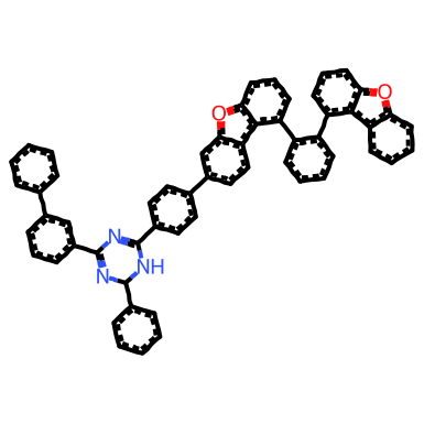 c1ccc(-c2cccc(C3=NC(c4ccccc4)NC(c4ccc(-c5ccc6c(c5)oc5cccc(-c7ccccc7-c7cccc8oc9ccccc9c78)c56)cc4)=N3)c2)cc1